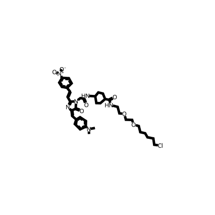 CN(C)c1ccc(/C=C2N=C(/C=C/c3ccc([N+](=O)[O-])cc3)N(CC(=O)NC3CCC(C(=O)NCCOCCOCCCCCCCl)CC3)C/2=O)cc1